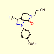 COc1ccc(-n2nc(C(F)(F)F)c3c2C(=O)N(CCC#N)CC3)cc1